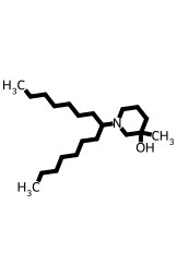 CCCCCCCC(CCCCCCC)N1CCCC(C)(O)C1